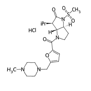 CC(C)[C@H]1C(=O)N(S(C)(=O)=O)[C@H]2CCN(C(=O)c3ccc(CN4CCN(C)CC4)o3)[C@H]12.Cl